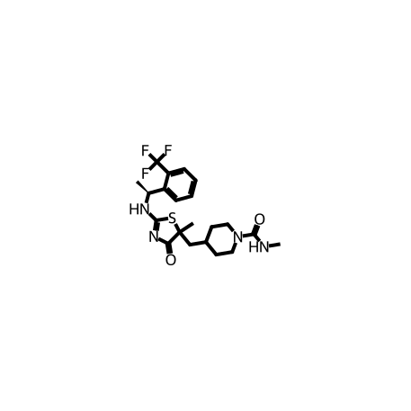 CNC(=O)N1CCC(CC2(C)SC(N[C@@H](C)c3ccccc3C(F)(F)F)=NC2=O)CC1